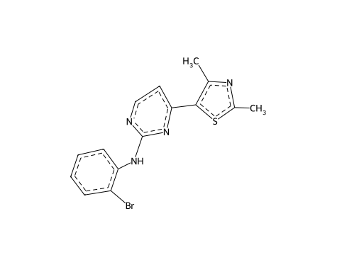 Cc1nc(C)c(-c2ccnc(Nc3ccccc3Br)n2)s1